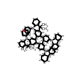 CC1(C)c2ccccc2N(c2ccccc2)c2cc3c(cc21)-c1ccc(-n2c4ccccc4c4ccccc42)cc1-c1cc(-n2c4ccccc4c4ccccc42)ccc1-c1cc2c(cc1-3)N(c1ccccc1)c1ccccc1C2(C)C